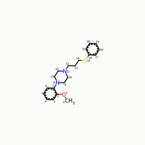 COc1ccccc1N1CCN(CCCSc2ccccc2)CC1